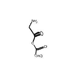 NCC(=O)OC(=O)C=O